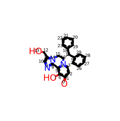 O=c1ccn2c(c1O)-c1ncc(CO)n1C[C@@H]2C(c1ccccc1)c1ccccc1